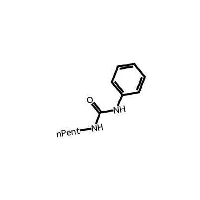 [CH2]CCCCNC(=O)Nc1ccccc1